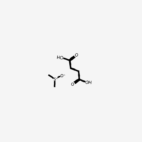 C[S+](C)[O-].O=C(O)CCC(=O)O